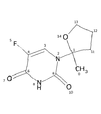 CC1(n2cc(F)c(=O)[nH]c2=O)CCCO1